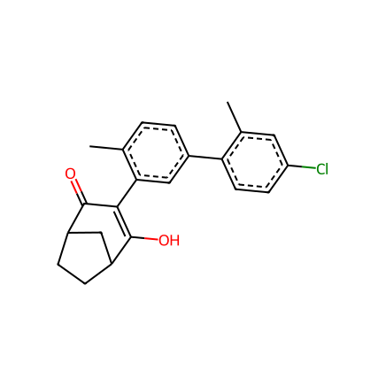 Cc1ccc(-c2ccc(Cl)cc2C)cc1C1=C(O)C2CCC(C2)C1=O